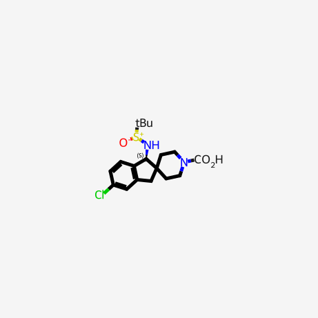 CC(C)(C)[S+]([O-])N[C@@H]1c2ccc(Cl)cc2CC12CCN(C(=O)O)CC2